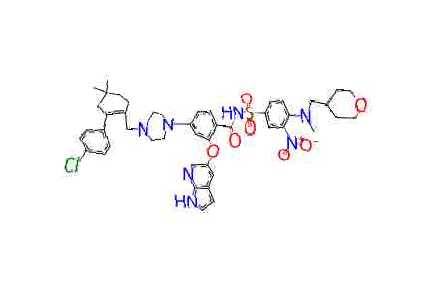 CN(CC1CCOCC1)c1ccc(S(=O)(=O)NC(=O)c2ccc(N3CCN(CC4=C(c5ccc(Cl)cc5)CC(C)(C)CC4)CC3)cc2Oc2cnc3[nH]ccc3c2)cc1[N+](=O)[O-]